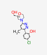 Cc1cc(N2CCO[C@H](CO)C2)nnc1-c1ccc(Cl)cc1O